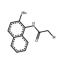 CC(C)(C)c1ccc2ccccc2c1NC(=O)CBr